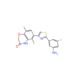 Cc1cc(-c2csc(-c3cc(N)cc(F)c3)n2)c(C)c2c1OCC(=O)N2